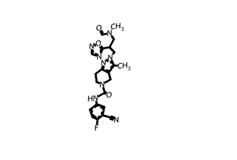 Cc1c2c(nn1CC(CN(C)C=O)c1ncno1)CCN(C(=O)Nc1ccc(F)c(C#N)c1)C2